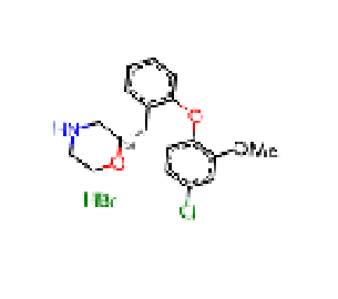 Br.COc1cc(Cl)ccc1Oc1ccccc1C[C@H]1CNCCO1